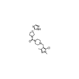 Cc1nn(C)c(Cl)c1CN1CCN(C(=O)N2CC[C@H](c3ncn[nH]3)C2)CC1